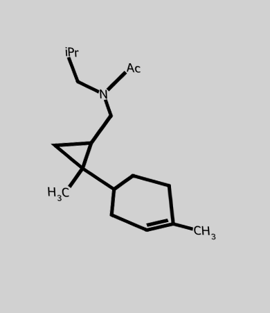 CC(=O)N(CC(C)C)CC1CC1(C)C1CC=C(C)CC1